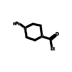 CCCN1CCN(C(=O)CC)CC1